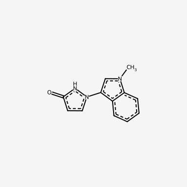 Cn1cc(-n2ccc(=O)[nH]2)c2ccccc21